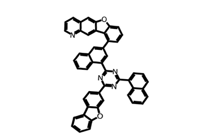 c1cnc2cc3c(cc2c1)oc1cccc(-c2cc(-c4nc(-c5ccc6c(c5)oc5ccccc56)nc(-c5cccc6ccccc56)n4)c4ccccc4c2)c13